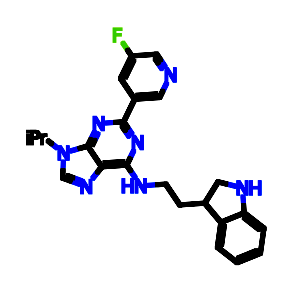 CC(C)n1cnc2c(NCCC3CNc4ccccc43)nc(-c3cncc(F)c3)nc21